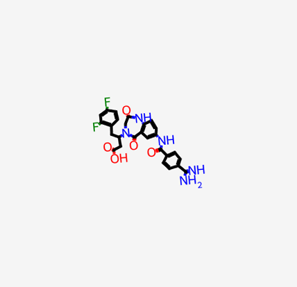 N=C(N)c1ccc(C(=O)Nc2ccc3c(c2)C(=O)N(C(CC(=O)O)Cc2ccc(F)cc2F)CC(=O)N3)cc1